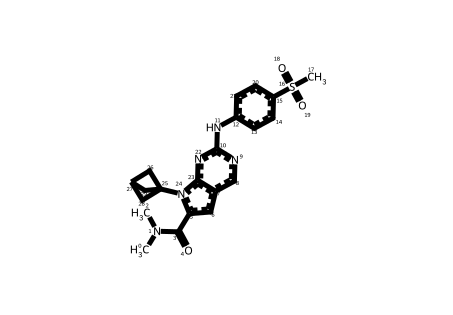 CN(C)C(=O)c1cc2cnc(Nc3ccc(S(C)(=O)=O)cc3)nc2n1C12CC(C1)C2